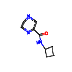 O=C(NC1C[CH]C1)c1cnccn1